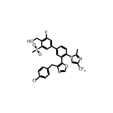 Cc1nc(C(F)(F)F)cn1-c1ccc(-c2cc(F)c(CO)c(S(C)(=O)=O)c2)cc1-c1ocnc1Cc1ccc(Cl)cc1